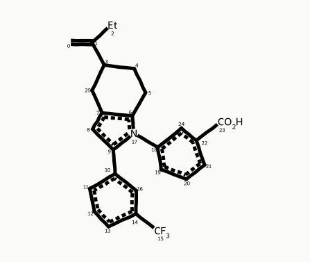 C=C(CC)C1CCc2c(cc(-c3cccc(C(F)(F)F)c3)n2-c2cccc(C(=O)O)c2)C1